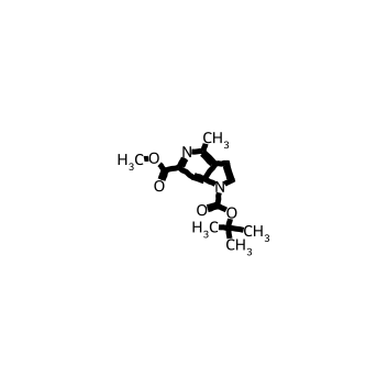 COC(=O)c1cc2c(ccn2C(=O)OC(C)(C)C)c(C)n1